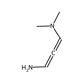 CN(C)C=C=CN